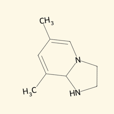 CC1=CN2CCNC2C(C)=C1